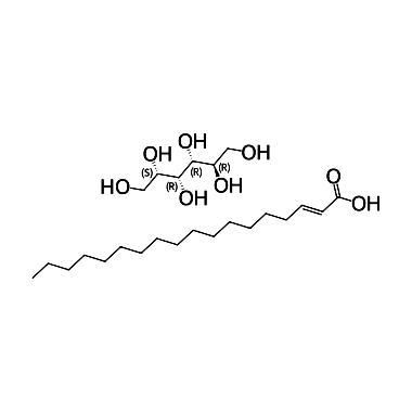 CCCCCCCCCCCCCCCC=CC(=O)O.OC[C@@H](O)[C@@H](O)[C@H](O)[C@@H](O)CO